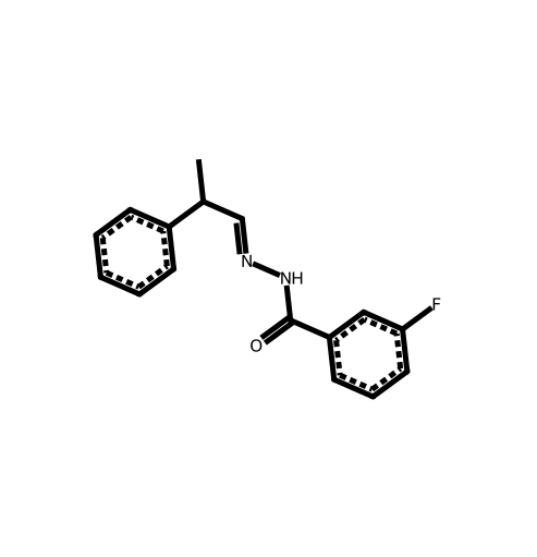 CC(/C=N/NC(=O)c1cccc(F)c1)c1ccccc1